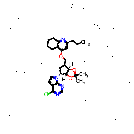 CCCc1cc(OCC2C[C@@H](n3ccc4c(Cl)ncnc43)[C@@H]3OC(C)(C)O[C@H]23)c2c(n1)CCCC2